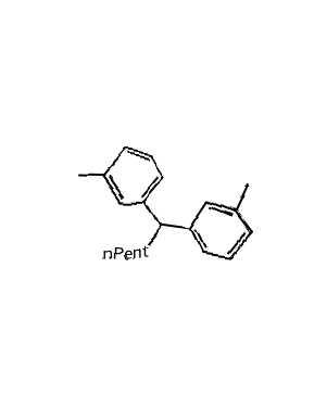 CCCCCC(c1cccc(C)c1)c1cccc(C)c1